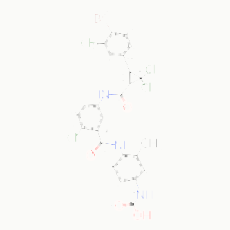 Cc1cc(NC(=O)O)ccc1NC(=O)c1cc(NC(=O)C2C(c3ccc(Br)c(Cl)c3)C2(Cl)Cl)ccc1Cl